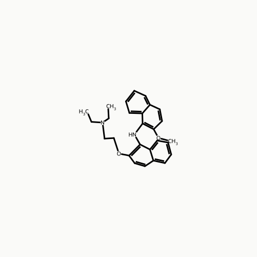 CCN(CC)CCOc1ccc2ccccc2c1Nc1c(OC)ccc2ccccc12